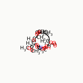 CO[C@@H]1/C(C)=C/[C@@H](C)C(=O)C[C@@H]([C@H](C)C[C@@H]2CC[C@@H](OC)[C@H](OC)C2)OC(=O)[C@@H]2CCCCN2C(=O)C(=O)[C@]2(O)O[C@@H](CC[C@H]2C)C[C@@H](OCC2COCCO2)/C(C)=C/C=C/C=C/[C@@H](C)C[C@@H](C)C(=O)[C@@H]1OC